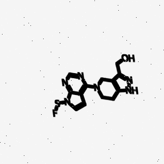 OCc1n[nH]c2c1CN(c1ncnc3c1ccn3SF)CC2